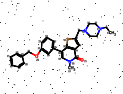 CCN1CCN(Cc2cc3c(=O)n(C)cc(-c4cccc(OCc5ccccc5)c4)c3s2)CC1